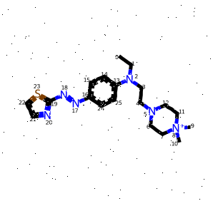 CCN(CCN1CC[N+](C)(C)CC1)c1ccc(N=Nc2nccs2)cc1